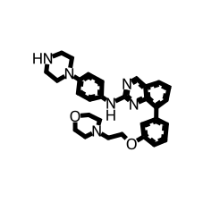 c1cc(OCCN2CCOCC2)cc(-c2cccc3cnc(Nc4ccc(N5CCNCC5)cc4)nc23)c1